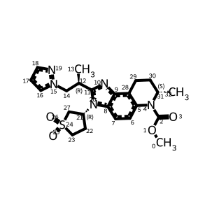 COC(=O)N1c2ccc3c(nc([C@H](C)Cn4cccn4)n3[C@@H]3CCS(=O)(=O)C3)c2CC[C@@H]1C